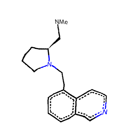 CNC[C@@H]1CCCN1Cc1cccc2cnccc12